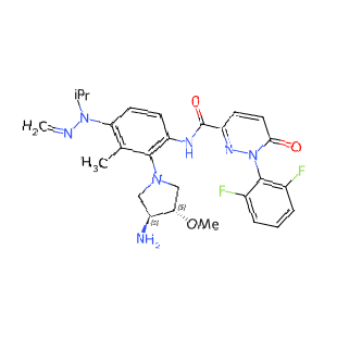 C=NN(c1ccc(NC(=O)c2ccc(=O)n(-c3c(F)cccc3F)n2)c(N2C[C@H](OC)[C@@H](N)C2)c1C)C(C)C